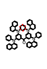 O=C(c1cc(N(c2ccccc2)c2cccc3ccccc23)cc(N(c2ccccc2)c2cccc3ccccc23)c1)c1cc(N(c2ccccc2)c2cccc3ccccc23)cc(N(c2ccccc2)c2cccc3ccccc23)c1